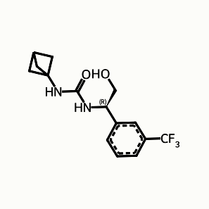 O=C(N[C@@H](CO)c1cccc(C(F)(F)F)c1)NC12CC(C1)C2